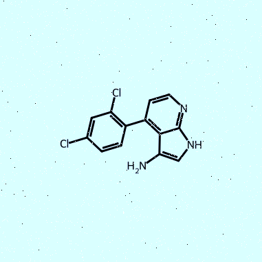 Nc1c[nH]c2nccc(-c3ccc(Cl)cc3Cl)c12